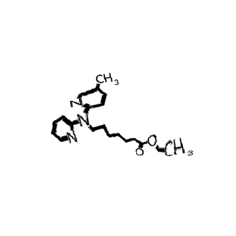 CCOC(=O)CCCCCCN(c1ccccn1)c1ccc(C)cn1